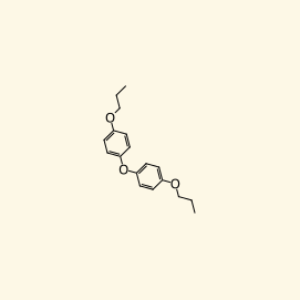 CCCOc1ccc(Oc2ccc(OCCC)cc2)cc1